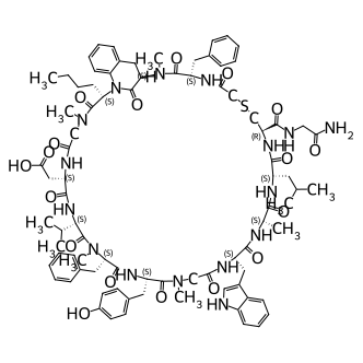 CCCC[C@H]1C(=O)N(C)CC(=O)N[C@@H](CC(=O)O)C(=O)N[C@@H](C(C)C)C(=O)N(C)[C@@H](Cc2ccccc2)C(=O)N[C@@H](Cc2ccc(O)cc2)C(=O)N(C)CC(=O)N[C@@H](Cc2c[nH]c3ccccc23)C(=O)N[C@@H](C)C(=O)N[C@@H](CC(C)C)C(=O)N[C@H](C(=O)NCC(N)=O)CSCC(=O)N[C@@H](Cc2ccccc2)C(=O)N(C)[C@H]2Cc3ccccc3N1C2=O